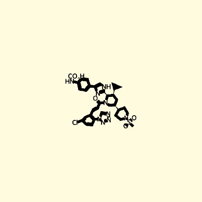 CS(=O)(=O)N1CCC([C@H]2C[C@@H](C3CC3)[C@@H](c3nc(-c4ccc(NC(=O)O)cc4)c[nH]3)N(C(=O)C=Cc3cc(Cl)ccc3-n3cnnn3)C2)CC1